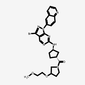 COCCOC1CCN(C(=O)[C@@H]2CC[C@@H](Nc3ncc4c(Br)nn(-c5ccc6ncccc6c5)c4n3)C2)C1